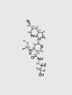 CC[C@H](C)Nc1cc(-n2ncc3cc(C#N)cnc32)ncc1C(=O)NC[C@@H](F)C(C)(C)O